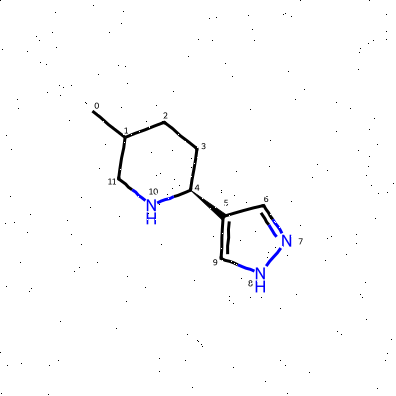 CC1CC[C@@H](c2cn[nH]c2)NC1